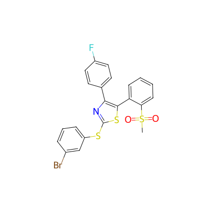 CS(=O)(=O)c1ccccc1-c1sc(Sc2cccc(Br)c2)nc1-c1ccc(F)cc1